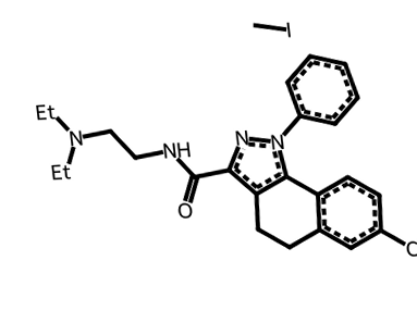 CCN(CC)CCNC(=O)c1nn(-c2ccccc2)c2c1CCc1cc(Cl)ccc1-2.CI